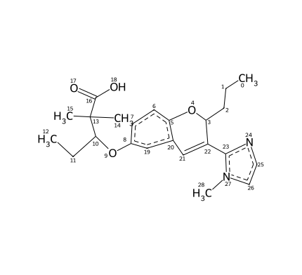 CCCC1Oc2ccc(OC(CC)C(C)(C)C(=O)O)cc2C=C1c1nccn1C